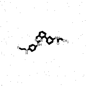 C=CC(=O)Nc1cccc(-c2cccc3cnc(Nc4ccc(NCCF)cc4)nc23)c1